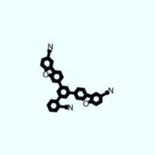 N#Cc1ccc2oc3cc(-c4cc(-c5ccc6c(c5)oc5ccc(C#N)cc56)cc(-c5ccccc5C#N)c4)ccc3c2c1